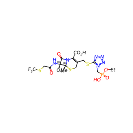 CCOP(=O)(O)Cn1nnnc1SCC1=C(C(=O)O)N2C(=O)[C@](NC(=O)CSC(F)(F)F)(OC)[C@H]2SC1